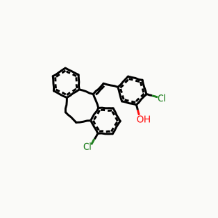 Oc1cc(C=C2c3ccccc3CCc3c(Cl)cccc32)ccc1Cl